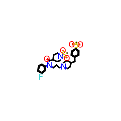 CS(=O)(=O)c1ccc(CC2CCN(CCCN(C(=O)C3CCN(S(C)(=O)=O)CC3)c3cccc(F)c3)CC2)cc1